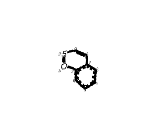 [C]1=Cc2ccccc2OS1